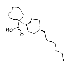 CCCCCC[C@H]1CC[C@H](C2(C(=O)O)CCCCC2)CC1